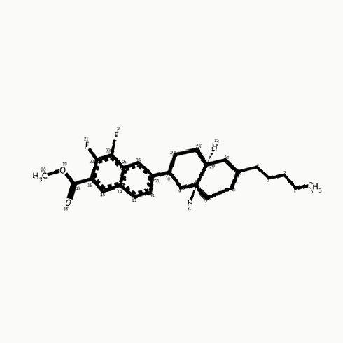 CCCCCC1CC[C@@H]2CC(c3ccc4cc(C(=O)OC)c(F)c(F)c4c3)CC[C@H]2C1